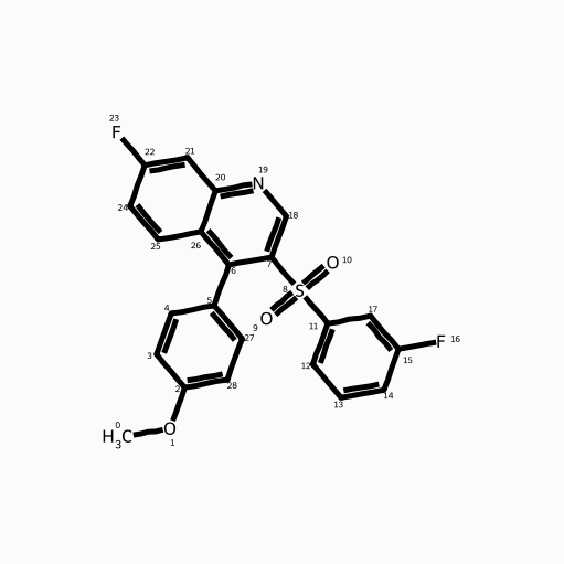 COc1ccc(-c2c(S(=O)(=O)c3cccc(F)c3)cnc3cc(F)ccc23)cc1